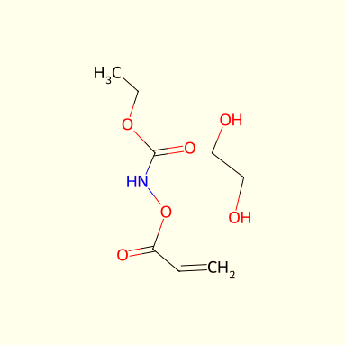 C=CC(=O)ONC(=O)OCC.OCCO